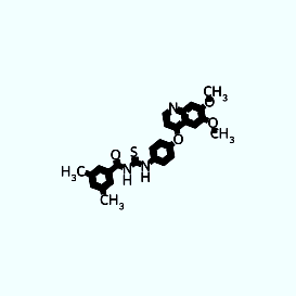 COc1cc2nccc(Oc3ccc(NC(=S)NC(=O)c4cc(C)cc(C)c4)cc3)c2cc1OC